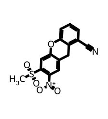 CS(=O)(=O)c1cc2c(cc1[N+](=O)[O-])Cc1c(C#N)cccc1O2